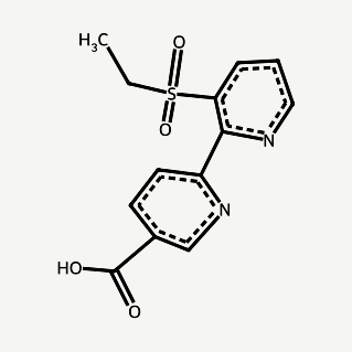 CCS(=O)(=O)c1cccnc1-c1ccc(C(=O)O)cn1